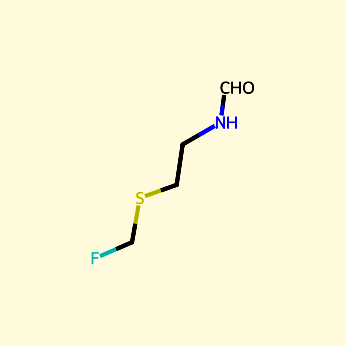 O=CNCCSCF